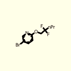 CCCC(F)(F)COc1ccc(Br)cn1